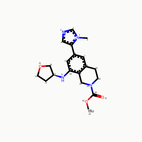 Cn1cncc1-c1cc2c(c(N[C@H]3CCOC3)c1)CN(C(=O)OC(C)(C)C)CC2